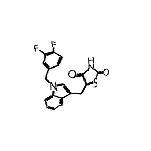 O=C1NC(=O)C(Cc2cn(Cc3ccc(F)c(F)c3)c3ccccc23)S1